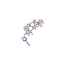 C[C@@]1(O)CC[C@@]2(C3CC3)[C@H](CC[C@H]3[C@@H]4CCC[C@H](C(=O)Cn5cc(C#N)cn5)[C@@]4(C)CC[C@@H]32)C1